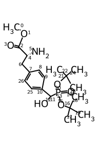 COC(=O)[C@H](N)Cc1ccc(C(O)P(=O)(OC(C)(C)C)OC(C)(C)C)cc1